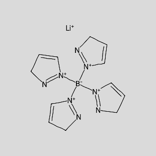 C1=C[N+]([B-]([N+]2=NCC=C2)([N+]2=NCC=C2)[N+]2=NCC=C2)=NC1.[Li+]